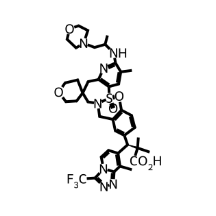 Cc1ccc([C@H](c2ccn3c(C(F)(F)F)nnc3c2C)C(C)(C)C(=O)O)cc1CN1CC2(CCOCC2)Cc2nc(NC(C)CN3CCOCC3)c(C)cc2S1(=O)=O